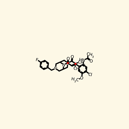 COc1cc(/C=C/C(=O)N2C3CN(Cc4ccc(F)cc4)CC2CN(C(=O)N(C)C)C3)c(NC(C)=O)cc1Cl